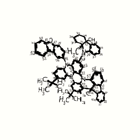 CC(C)(C)c1ccc2c(c1)B1c3cc(C(C)(C)C)cc4c3N(c3cc(N5c6ccccc6C6(C)CCCCC56C)cc(c31)N2c1ccc2oc3ccccc3c2c1)c1cccc2c1C4(C)c1ccccc1-2